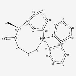 C[C@@H]1C(=O)CCC[PH](c2ccccc2)(c2ccccc2)c2cccc1c2